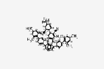 Cc1cc(C)c(-c2ccc3c4ccccc4n(-c4cc(C#N)c(-c5ccc(C(F)(F)F)cc5C#N)cc4-n4c5ccccc5c5ccc(-c6c(C)cc(C)cc6C)cc54)c3c2)c(C)c1